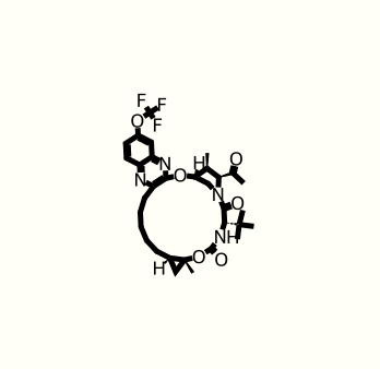 CC(=O)[C@@H]1[C@H](C)[C@@H]2CN1C(=O)[C@H](C(C)(C)C)NC(=O)O[C@]1(C)C[C@H]1CCCCCc1nc3ccc(OC(F)(F)F)cc3nc1O2